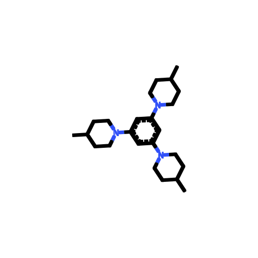 CC1CCN(c2cc(N3CCC(C)CC3)cc(N3CCC(C)CC3)c2)CC1